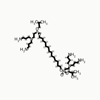 CC(C)COP(CCN(CCCN)CCCN)OCCCCCCCCCCCCCCOP(=O)(CCN(CCCN)CCCN)OCC(C)C